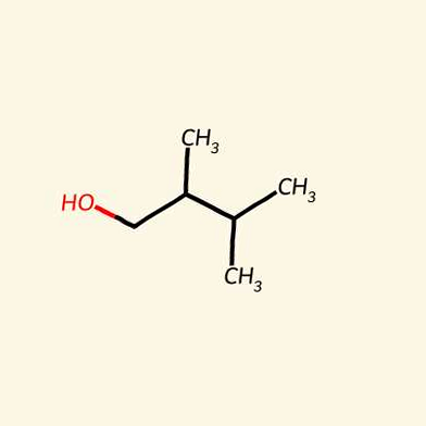 CC(C)C(C)CO